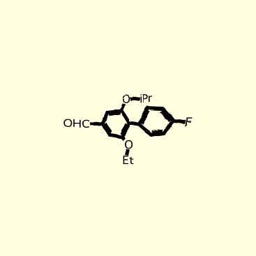 CCOc1cc(C=O)cc(OC(C)C)c1-c1ccc(F)cc1